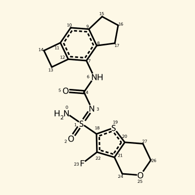 NS(=O)(=NC(=O)Nc1c2c(cc3c1CC3)CCC2)c1sc2c(c1F)COCC2